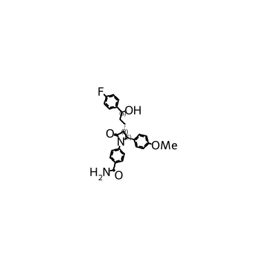 COc1ccc([C@@H]2[C@@H](CC[C@H](O)c3ccc(F)cc3)C(=O)N2c2ccc(C(N)=O)cc2)cc1